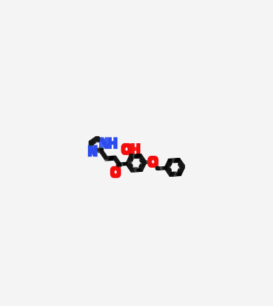 O=C(C=Cc1ncc[nH]1)c1ccc(OCc2ccccc2)cc1O